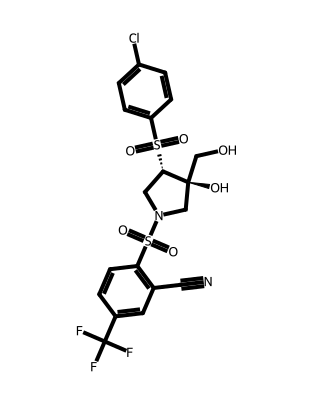 N#Cc1cc(C(F)(F)F)ccc1S(=O)(=O)N1C[C@H](S(=O)(=O)c2ccc(Cl)cc2)[C@](O)(CO)C1